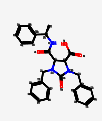 C[C@@H](NC(=O)C1C(C(=O)O)N(Cc2ccccc2)C(=O)N1Cc1ccccc1)c1ccccc1